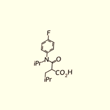 CC(C)CC(C(=O)O)C(=O)N(c1ccc(F)cc1)C(C)C